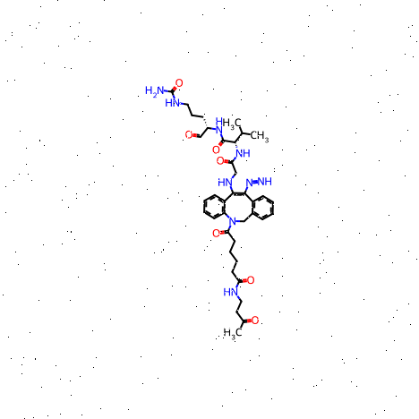 CC(=O)CCNC(=O)CCCCC(=O)N1Cc2ccccc2/C(N=N)=C(/NCC(=O)N[C@H](C(=O)N[C@H](C=O)CCCNC(N)=O)C(C)C)c2ccccc21